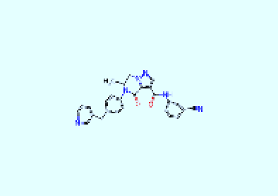 C[C@H]1Cn2ncc(C(=O)Nc3cccc(C#N)c3)c2C(=O)N1c1ccc(Cc2cccnc2)cc1